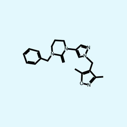 C=C1N(Cc2ccccc2)CCCN1c1cnn(Cc2c(C)noc2C)c1